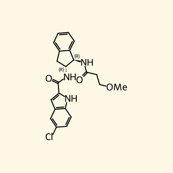 COCCC(=O)N[C@@H]1c2ccccc2C[C@H]1NC(=O)c1cc2cc(Cl)ccc2[nH]1